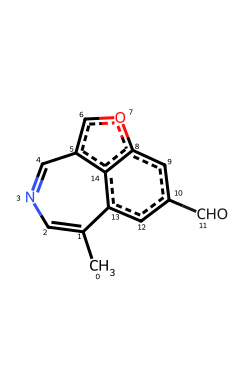 CC1=CN=Cc2coc3cc(C=O)cc1c23